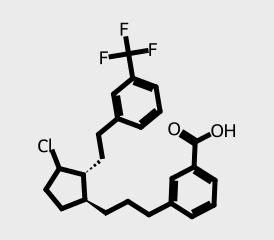 O=C(O)c1cccc(CCC[C@H]2CCC(Cl)[C@@H]2CCc2cccc(C(F)(F)F)c2)c1